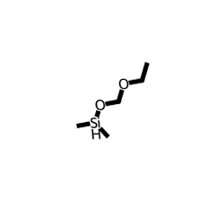 CCOCO[SiH](C)C